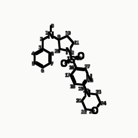 CN(Cc1ccccc1)C1CCN(S(=O)(=O)c2ccc(N3CCOCC3)nc2)C1